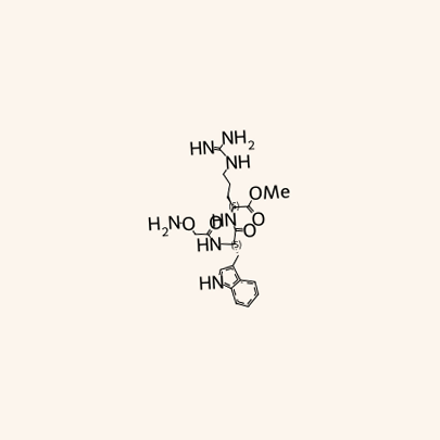 COC(=O)[C@H](CCCNC(=N)N)NC(=O)[C@H](Cc1c[nH]c2ccccc12)NC(=O)CON